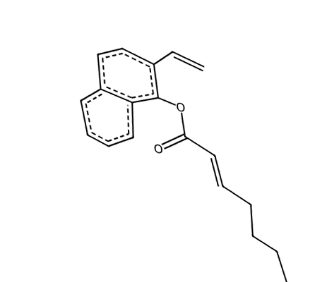 C=Cc1ccc2ccccc2c1OC(=O)C=CCCCC